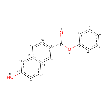 O=C(Oc1ccccc1)c1ccc2cc(O)ccc2c1